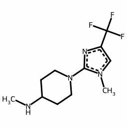 CNC1CCN(c2nc(C(F)(F)F)cn2C)CC1